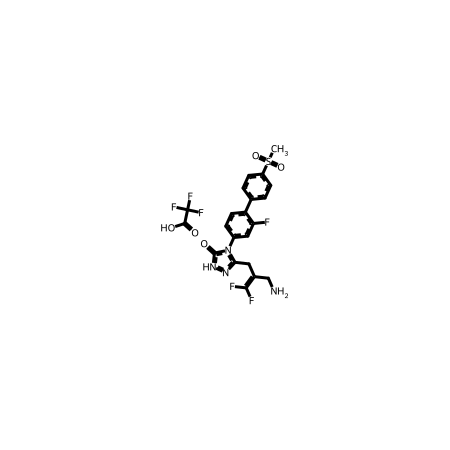 CS(=O)(=O)c1ccc(-c2ccc(-n3c(CC(CN)=C(F)F)n[nH]c3=O)cc2F)cc1.O=C(O)C(F)(F)F